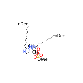 CCCCCCCCCCCCCCCCCCC1=NCC[N+]1(C)C(C)NC(=O)CCCCCCCCCCCCCCCCC.COS(=O)(=O)[O-]